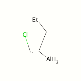 CCC[CH2][AlH2].[CH2]Cl